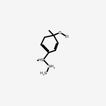 CCOC1(C)C=CC([SiH](C)[SiH2][SiH3])=CC1